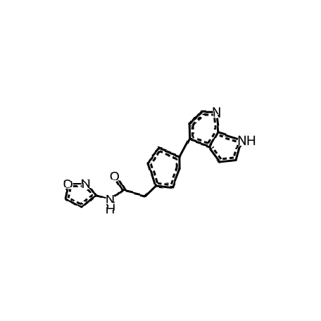 O=C(Cc1ccc(-c2ccnc3[nH]ccc23)cc1)Nc1ccon1